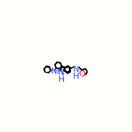 c1cc2[nH]c3c(c2cc1CNCC1CCCO1)CCCC3NC1CCCCC1